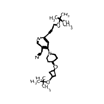 CC(C)(C)OCC#Cc1cc(N2CCC(OC3CC(OC(C)(C)C)C3)CC2)c(C#N)cn1